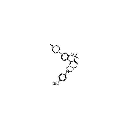 CN1CCN(c2ccc3c(c2)OC(C)(C)C2=CCN4CN(c5ccc(C(C)(C)C)cc5)CN4C23)CC1